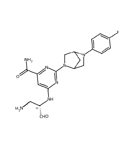 NC[C@@H](C=O)Nc1cc(C(N)=O)nc(N2CC3CC2CN3c2ccc(F)cc2)n1